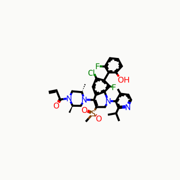 C=CC(=O)N1C[C@H](C)N(C2=C(S(C)(=O)=O)CN(c3c(C)ccnc3C(C)C)c3c2cc(Cl)c(-c2c(O)cccc2F)c3F)C[C@H]1C